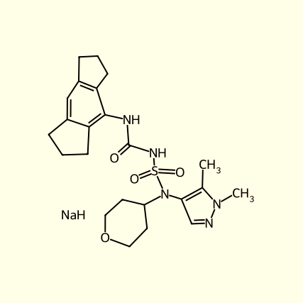 Cc1c(N(C2CCOCC2)S(=O)(=O)NC(=O)Nc2c3c(cc4c2CCC4)CCC3)cnn1C.[NaH]